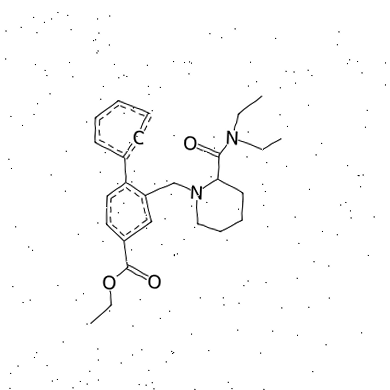 CCOC(=O)c1ccc(-c2ccccc2)c(CN2CCCCC2C(=O)N(CC)CC)c1